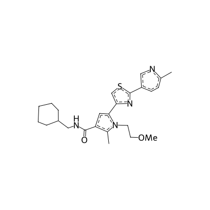 COCCn1c(-c2csc(-c3ccc(C)nc3)n2)cc(C(=O)NCC2CCCCC2)c1C